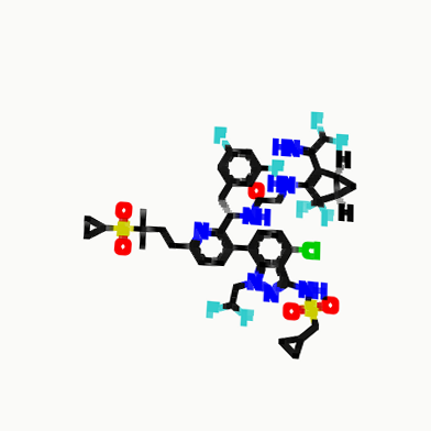 CC(C)(CCc1ccc(-c2ccc(Cl)c3c(NS(=O)(=O)CC4CC4)nn(CC(F)F)c23)c([C@H](Cc2cc(F)cc(F)c2)NC(=O)CNC2=C(C(=N)C(F)F)[C@H]3C[C@H]3C2(F)F)n1)S(=O)(=O)C1CC1